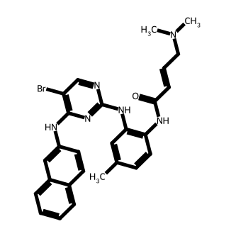 Cc1ccc(NC(=O)/C=C/CN(C)C)c(Nc2ncc(Br)c(Nc3ccc4ccccc4c3)n2)c1